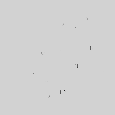 CCC(N)(C(C(=O)O)C(=O)OC(C)(C)C)n1cc([N+](=O)[O-])nc1Br